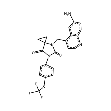 Nc1ccc2nccc(CN3C(=O)N(c4ccc(SC(F)(F)F)cc4)C(=O)C34CC4)c2c1